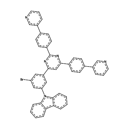 Brc1cc(-c2cc(-c3ccc(-c4cccnc4)cc3)nc(-c3ccc(-c4cccnc4)cc3)n2)cc(-n2c3ccccc3c3ccccc32)c1